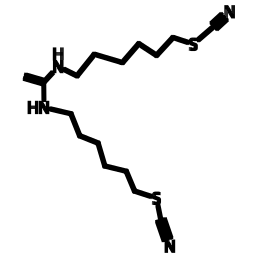 C=C(NCCCCCCSC#N)NCCCCCCSC#N